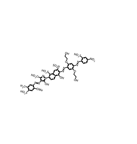 COc1cc(S(=O)(=O)O)c(C)cc1/N=N/c1c(C(=O)O)nn(-c2ccc3c(O)c(/N=N/c4cc(OCCO)c(/N=N/c5ccc([N+](=O)[O-])cc5S(=O)(=O)O)cc4OCCO)c(S(=O)(=O)O)cc3c2S(=O)(=O)O)c1O